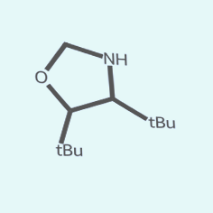 CC(C)(C)C1NCOC1C(C)(C)C